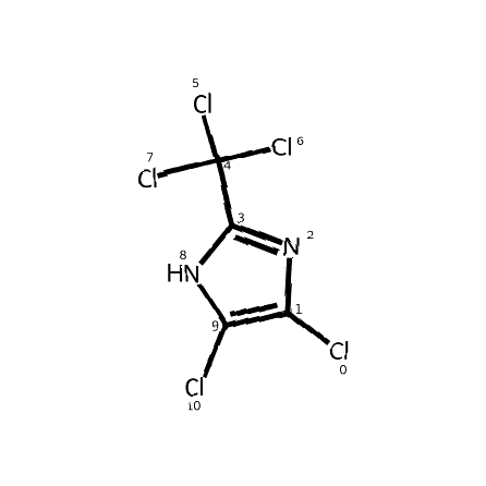 Clc1nc(C(Cl)(Cl)Cl)[nH]c1Cl